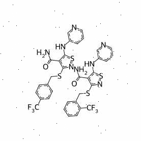 NC(=O)c1c(SCc2ccc(C(F)(F)F)cc2)nsc1Nc1cccnc1.NC(=O)c1c(SCc2ccccc2C(F)(F)F)nsc1Nc1cccnc1